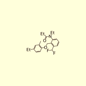 CCC(=O)N(CC)c1cccc(C(F)F)c1COc1ccc(CC)cc1C